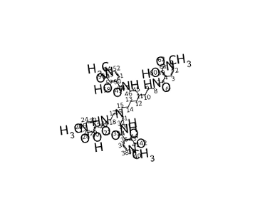 Cn1ccc(C(=O)NCCCC(CCCCN(CCNC(=O)c2ccn(C)c(=O)c2O)CCNC(=O)c2ccn(C)c(=O)c2O)CCNC(=O)c2ccn(C)c(=O)c2O)c(O)c1=O